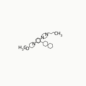 CCCCN1CCN(c2ccc(N3CCC(OC)CC3)cc2C2CCC3(CCCCC3)CC2)CC1